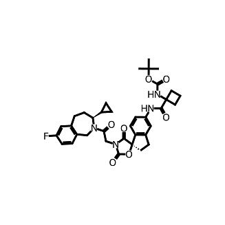 CC(C)(C)OC(=O)NC1(C(=O)Nc2ccc3c(c2)CC[C@@]32OC(=O)N(CC(=O)N3Cc4ccc(F)cc4CC[C@H]3C3CC3)C2=O)CCC1